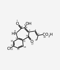 CC(=Cc1c(O)c(=O)[nH]c2cc(Cl)ccc2c1=O)C(=O)O